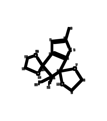 Cc1cc2c(s1)C1(OCCO1)C(F)(F)C21OCCO1